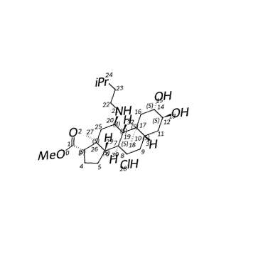 COC(=O)[C@H]1CC[C@H]2[C@@H]3CC[C@H]4C[C@H](O)[C@@H](O)C[C@]4(C)[C@H]3[C@H](NCCC(C)C)C[C@]12C.Cl